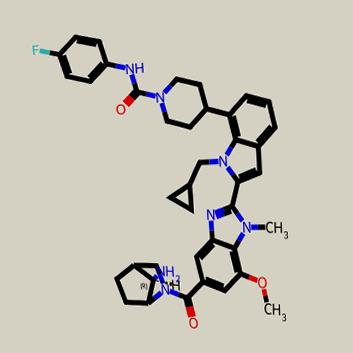 COc1cc(C(=O)N2CC3CCC2[C@@H]3N)cc2nc(-c3cc4cccc(C5CCN(C(=O)Nc6ccc(F)cc6)CC5)c4n3CC3CC3)n(C)c12